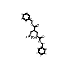 O=C(CCC(C[PH](=O)O)C(=O)OCc1ccccc1)OCc1ccccc1